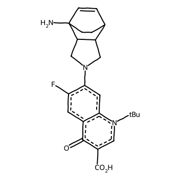 CC(C)(C)n1cc(C(=O)O)c(=O)c2cc(F)c(N3CC4C5C=CC(N)(CC5)C4C3)cc21